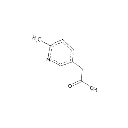 [CH2]c1ccc(CC(=O)O)cn1